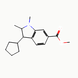 COC(=O)c1ccc2c(c1)N(C)C(C)C2C1CCCC1